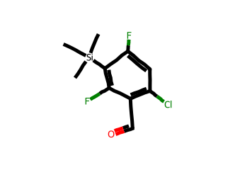 C[Si](C)(C)c1c(F)cc(Cl)c(C=O)c1F